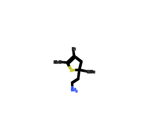 CCC1=C(OC)SC(CCN)(OC)C1